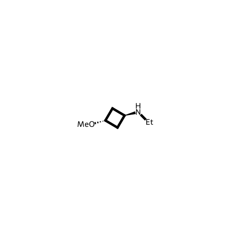 CCN[C@H]1C[C@H](OC)C1